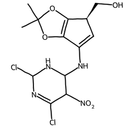 CC1(C)OC2=C(O1)[C@@H](CO)C=C2NC1NC(Cl)N=C(Cl)C1[N+](=O)[O-]